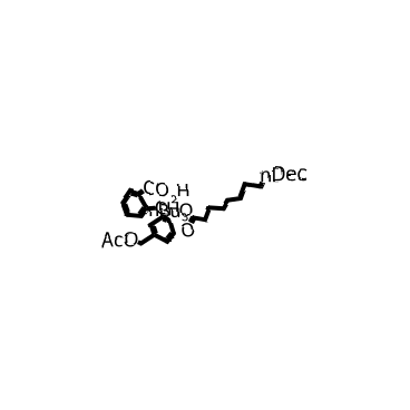 CC(=O)OCc1ccccc1.CCCCCCCCCCCCCCCCCC(=O)OCCCC.Cc1ccccc1C(=O)O